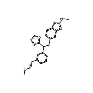 CNc1nc2ccc(OC(c3cc(/C=N/OC)ccn3)c3nnco3)cc2s1